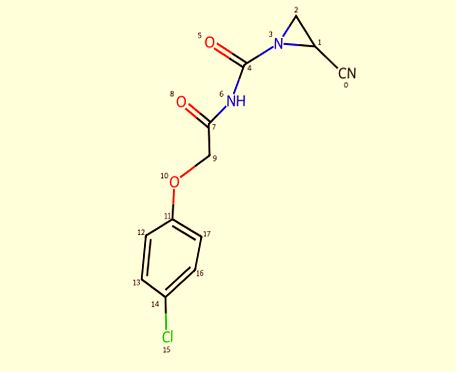 N#CC1CN1C(=O)NC(=O)COc1ccc(Cl)cc1